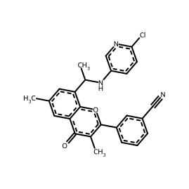 Cc1cc(C(C)Nc2ccc(Cl)nc2)c2oc(-c3cccc(C#N)c3)c(C)c(=O)c2c1